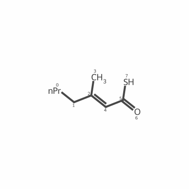 CCCC/C(C)=C/C(=O)S